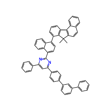 CC1(C)c2ccc3ccccc3c2-c2cccc(-c3ccc(-c4nc(-c5ccccc5)cc(-c5ccc(-c6cccc(-c7ccccc7)c6)cc5)n4)c4ccccc34)c21